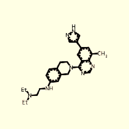 CCN(CC)CCNc1ccc2c(c1)CN(c1ncnc3c(C)cc(-c4cn[nH]c4)cc13)CC2